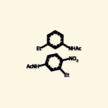 CCc1cc(NC(C)=O)ccc1[N+](=O)[O-].CCc1cccc(NC(C)=O)c1